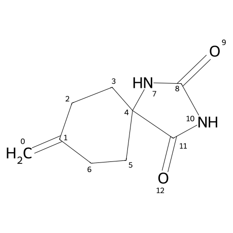 C=C1CCC2(CC1)NC(=O)NC2=O